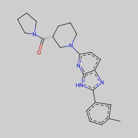 Cc1cccc(-c2nc3ccc(N4CCC[C@@H](C(=O)N5CCCC5)C4)nc3[nH]2)c1